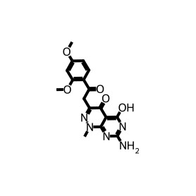 COc1ccc(C(=O)Cc2nn(C)c3nc(N)nc(O)c3c2=O)c(OC)c1